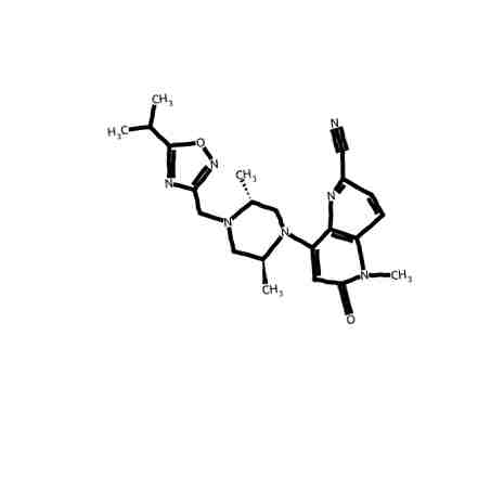 CC(C)c1nc(CN2C[C@H](C)N(c3cc(=O)n(C)c4ccc(C#N)nc34)C[C@H]2C)no1